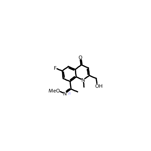 CO/N=C(/C)c1cc(F)cc2c(=O)cc(CO)n(C)c12